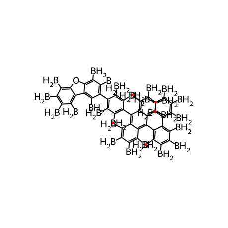 Bc1c(B)c(B)c(-c2c(B)c(B)c(B)c(B)c2-c2c3c(B)c(B)c(B)c(B)c3c(-c3c(B)c(B)c(-c4c(B)c(B)c5oc6c(B)c(B)c(B)c(B)c6c5c4B)c(B)c3B)c3c(B)c(B)c(B)c(B)c23)c(B)c1B